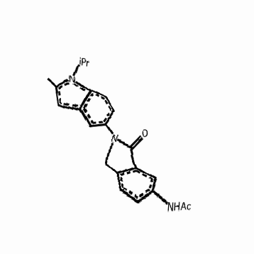 CC(=O)Nc1ccc2c(c1)C(=O)N(c1ccc3c(c1)cc(C)n3C(C)C)C2